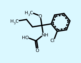 CCCC(NC(=O)O)(OC)c1ccccc1Cl